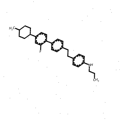 CCCNc1ccc(CCc2ccc(-c3ccc(C4CCC(C)CC4)cc3F)cc2)cc1